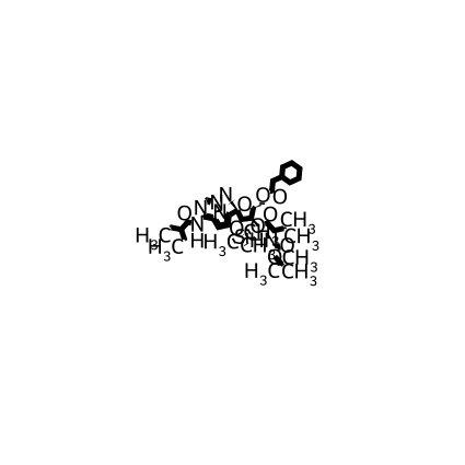 CCC(CC)C(=O)Nc1ncnn2c([C@]3(C#N)O[C@H](COC(=O)CC4CCCCC4)[C@@H](OC(=O)[C@@H](NC(=O)OC(C)(C)C)C(C)C)[C@H]3O[Si](C)(C)C)ccc12